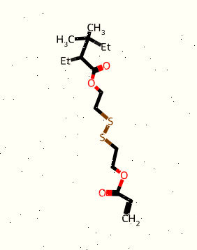 C=CC(=O)OCCSSCCOC(=O)C(CC)C(C)(C)CC